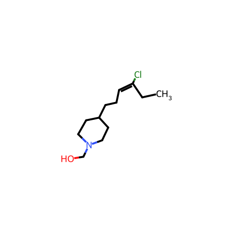 CC/C(Cl)=C\CCC1CCN(CO)CC1